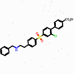 CCOC(=O)c1ccc(-c2ccc(S(=O)(=O)c3ccc(CCNCc4ccccc4)cc3)cc2Cl)cc1